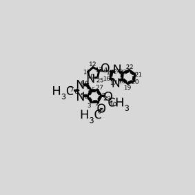 COc1cc2nc(C)nc(N3CCC(Oc4cnc5ccccc5n4)C3)c2cc1OC